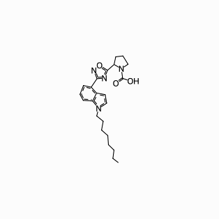 CCCCCCCCn1ccc2c(-c3noc(C4CCCN4C(=O)O)n3)cccc21